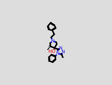 Cc1nnc([C@@]2(O)CCN(CCc3ccccc3)C[C@@H]2C)n1-c1ccccc1